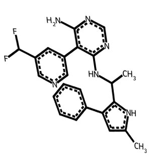 Cc1cc(-c2ccccc2)c(C(C)Nc2ncnc(N)c2-c2cncc(C(F)F)c2)[nH]1